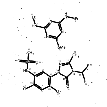 CCNc1nc(NC(C)C)nc(SC)n1.Cc1nn(-c2cc(NS(C)(=O)=O)c(Cl)cc2Cl)c(=O)n1C(F)F